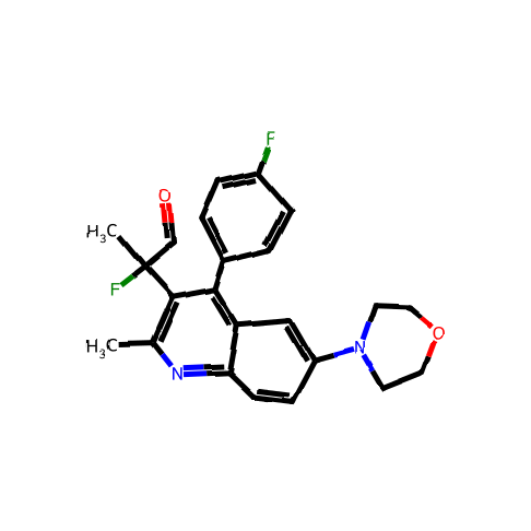 Cc1nc2ccc(N3CCOCC3)cc2c(-c2ccc(F)cc2)c1C(C)(F)C=O